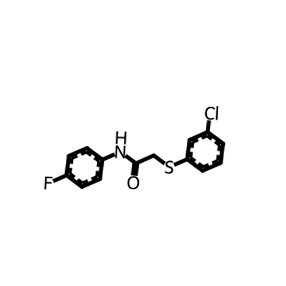 O=C(CSc1cccc(Cl)c1)Nc1ccc(F)cc1